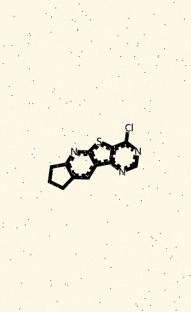 Clc1ncnc2c1sc1nc3c(cc12)CCC3